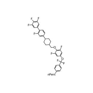 CCCCCc1ccc(C(F)(F)Oc2cc(F)c(OCC3CCC(c4ccc(-c5cc(F)c(F)c(F)c5)c(F)c4)CC3)c(F)c2)cc1